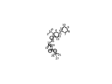 CC(C)c1cc(-c2ccccc2)ccc1OCCN(C)CC(=O)OC(C)(C)C